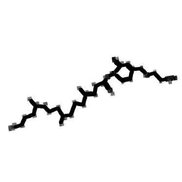 COCCOCc1ccn(OC(=O)C/C=C(\C)CCCC(C)CCCC(C)CCCC(C)C)c(=S)c1